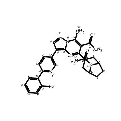 CC(=O)c1c(C2CC3CCC(C2)N3C(N)=O)nc2c(-c3ccc(-c4ccccc4F)nc3)cnn2c1N